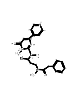 CCC(CCN(C)C(=O)Cc1ccccc1)N(CC)c1nc(-c2ccncc2)cc(=O)n1C